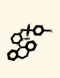 Nc1ccc(S(=O)(=O)N[C@@H]2CCC[C@H](N3c4ccccc4CCc4ccccc43)[C@H]2O)cc1